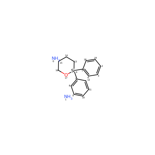 N.N.c1ccc([Si]2(c3ccccc3)CCCCO2)cc1